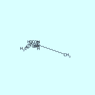 CCCCCCCCCCCCCCCCCCNC(=O)C(O)C(C)(O)C(O)C(=O)N1CCN(C)CC1